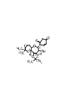 CC1(C)OCC2O[C@@H](N3C=CC(=O)CC3=O)C(O)[C@H]3OC(C)(C)OC3[C@@H]2O1